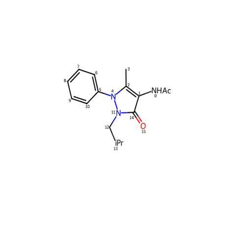 CC(=O)Nc1c(C)n(-c2ccccc2)n(CC(C)C)c1=O